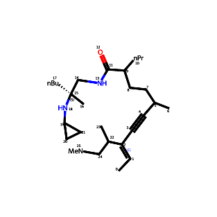 C/C=C(/C#CC(C)CCC(CCC)C(=O)NC[C@](C)(CCCC)NC1CC1)C(C)CNC